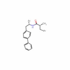 CC(=O)[C@H](Cc1ccc(-c2ccccc2)cc1)NC(=O)[C@@H](C)CC(C)C